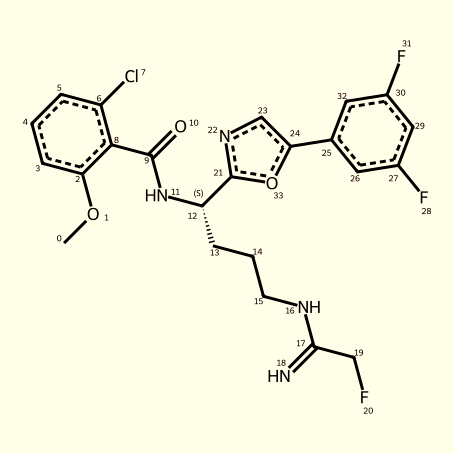 COc1cccc(Cl)c1C(=O)N[C@@H](CCCNC(=N)CF)c1ncc(-c2cc(F)cc(F)c2)o1